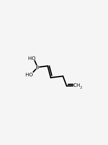 C=CCC=CB(O)O